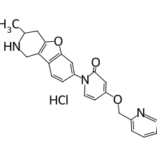 CC1Cc2oc3cc(-n4ccc(OCc5ccccn5)cc4=O)ccc3c2CN1.Cl